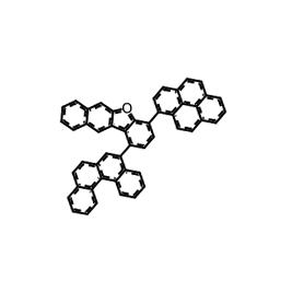 c1ccc2cc3c(cc2c1)oc1c(-c2ccc4ccc5cccc6ccc2c4c56)ccc(-c2cc4ccc5ccccc5c4c4ccccc24)c13